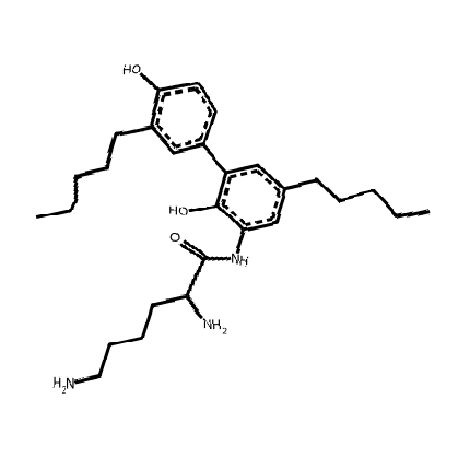 CCCCCc1cc(NC(=O)C(N)CCCCN)c(O)c(-c2ccc(O)c(CCCCC)c2)c1